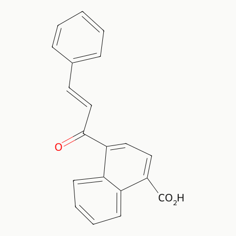 O=C(O)c1ccc(C(=O)/C=C/c2ccccc2)c2ccccc12